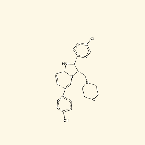 Oc1ccc(C2=CN3C(C=C2)NC(c2ccc(Cl)cc2)C3CN2CCOCC2)cc1